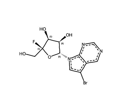 OC[C@@]1(F)O[C@@H](n2cc(Br)c3cncnc32)[C@H](O)[C@@H]1O